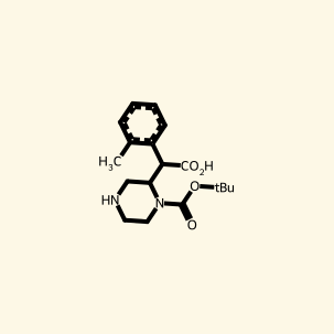 Cc1ccccc1C(C(=O)O)C1CNCCN1C(=O)OC(C)(C)C